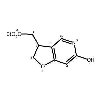 CCOC(=O)CC1COc2cc(O)ncc21